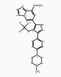 COc1cc(-c2[nH]nc(-c3ccc(N4CCN(C)CC4)cn3)c2CC(F)(F)F)cn2ncnc12